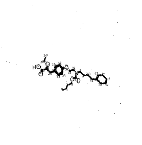 CCCCOC(=O)N(CCCCC1CCCCC1)CCOc1ccc(CC(OCC)C(=O)O)cc1